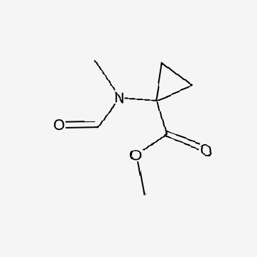 COC(=O)C1(N(C)C=O)CC1